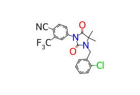 CC1(C)C(=O)N(c2ccc(C#N)c(C(F)(F)F)c2)C(=O)N1Cc1ccccc1Cl